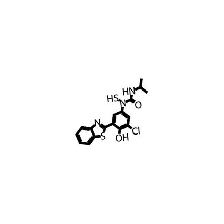 CC(C)NC(=O)N(S)c1cc(Cl)c(O)c(-c2nc3ccccc3s2)c1